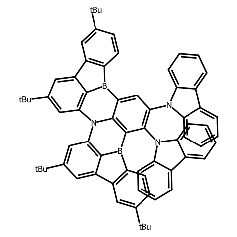 CC(C)(C)c1ccc2c(c1)-c1cc(C(C)(C)C)cc3c1B2c1cc(-n2c4ccccc4c4ccccc42)c(-n2c4ccccc4c4ccccc42)c2c1N3c1cc(C(C)(C)C)cc3c1B2c1ccc(C(C)(C)C)cc1-3